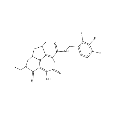 CCN1CC2CC(C)/C(=C(/C)C(=O)NCc3ccc(F)c(F)c3F)N2/C(=C(/O)C=O)C1=O